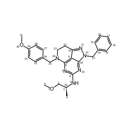 COC[C@H](C)Nc1nc2c3c(nn(Cc4ccccc4)c3n1)CCN2Cc1ccc(OC)cc1